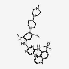 CCc1cc(Nc2ncc(Cl)c(Nc3c(P(C)(C)=O)ccc4nccnc34)n2)c(OC)cc1N1CCC(N2CCN(C)CC2)CC1